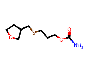 NC(=O)OCCCSCC1CCOC1